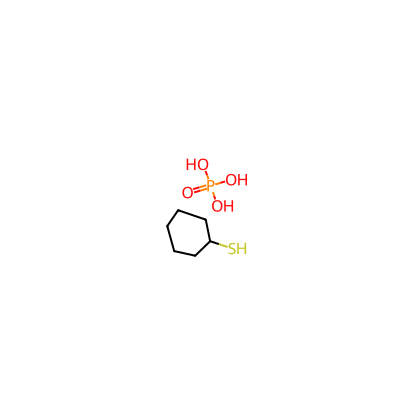 O=P(O)(O)O.SC1CCCCC1